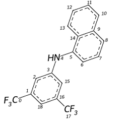 FC(F)(F)c1cc(Nc2cccc3ccccc23)cc(C(F)(F)F)c1